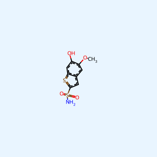 COc1cc2cc(S(N)(=O)=O)sc2cc1O